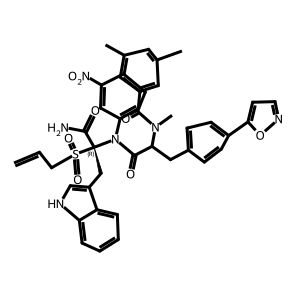 C=CCS(=O)(=O)[C@](Cc1c[nH]c2ccccc12)(C(N)=O)N(C(=O)C(Cc1ccc(-c2ccno2)cc1)N(C)C(=O)c1cc(C)cc(C)c1)c1cccc([N+](=O)[O-])c1